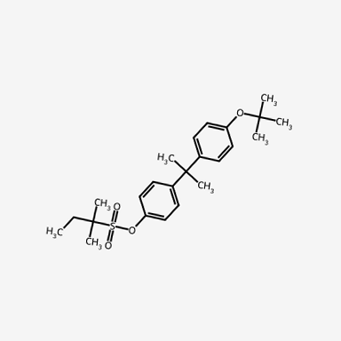 CCC(C)(C)S(=O)(=O)Oc1ccc(C(C)(C)c2ccc(OC(C)(C)C)cc2)cc1